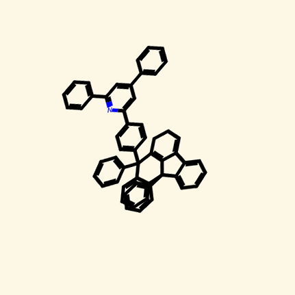 C1=C2C3=C(CC1)C(c1ccccc1)(c1ccc(-c4cc(-c5ccccc5)cc(-c5ccccc5)n4)cc1)c1ccccc1C3(c1ccccc1)c1ccccc12